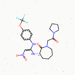 O=C(CN1CCCC[C@H](NC(=C[N+](=O)[O-])Nc2ccc(OC(F)(F)F)cc2)C1=O)N1CCCC1